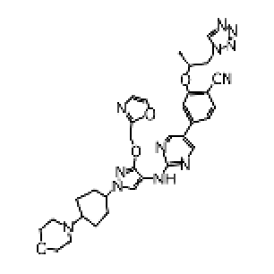 C[C@@H](Cn1cnnn1)Oc1cc(-c2cnc(Nc3cn(C4CCC(N5CCOCC5)CC4)nc3OCc3ncco3)nc2)ccc1C#N